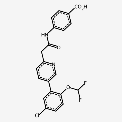 O=C(Cc1ccc(-c2cc(Cl)ccc2OC(F)F)cn1)Nc1ccc(C(=O)O)cc1